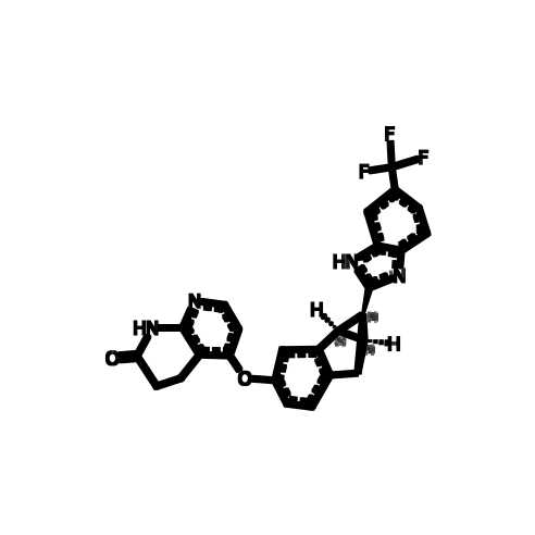 O=C1CCc2c(Oc3ccc4c(c3)[C@@H]3[C@@H]5C4[C@]35c3nc4ccc(C(F)(F)F)cc4[nH]3)ccnc2N1